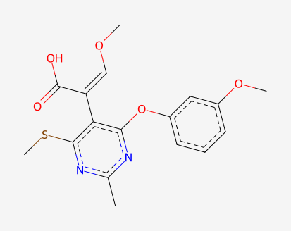 COC=C(C(=O)O)c1c(Oc2cccc(OC)c2)nc(C)nc1SC